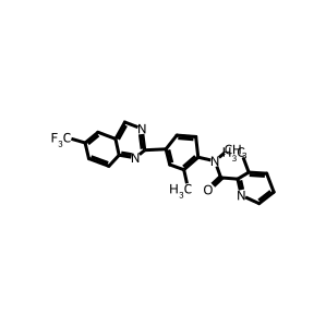 Cc1cc(-c2ncc3cc(C(F)(F)F)ccc3n2)ccc1N(C)C(=O)c1ncccc1C